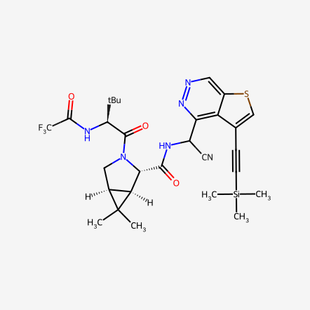 CC(C)(C)[C@H](NC(=O)C(F)(F)F)C(=O)N1C[C@H]2[C@@H]([C@H]1C(=O)NC(C#N)c1nncc3scc(C#C[Si](C)(C)C)c13)C2(C)C